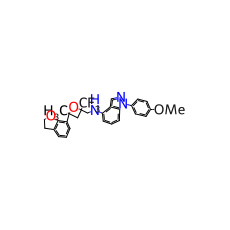 COc1ccc(-n2ncc3c(NCC4(C(F)(F)F)CC(C)(c5cccc6c5OCC6)O4)cccc32)cc1